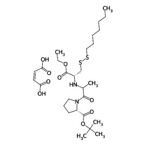 CCCCCCCSSC[C@H](NC(C)C(=O)N1CCC[C@H]1C(=O)OC(C)(C)C)C(=O)OCC.O=C(O)/C=C\C(=O)O